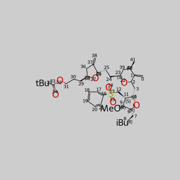 C=C1C(C[C@@H]2O[C@H](C[C@H](C)CC)[C@H](OC)[C@H]2CS(=O)(=O)c2ccccc2)O[C@@H](CC[C@@H]2O[C@@H](CCCOC(=O)C(C)(C)C)CC2=C)C[C@H]1C